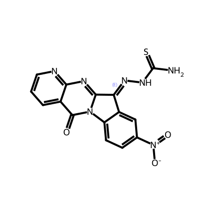 NC(=S)N/N=C1\c2cc([N+](=O)[O-])ccc2-n2c1nc1ncccc1c2=O